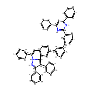 c1ccc(-c2cc(-c3ccccc3)nc(-c3cccc(-c4cccc(-c5ccc6cc(-c7ccccc7)n7nc(-c8ccccc8)c(-c8ccccc8)c7c6c5)c4)c3)n2)cc1